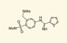 CNCc1cc(NC(=N)c2cccs2)ccc1S(=O)(=O)NC